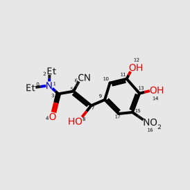 CCN(CC)C(=O)/C(C#N)=C(\O)c1cc(O)c(O)c([N+](=O)[O-])c1